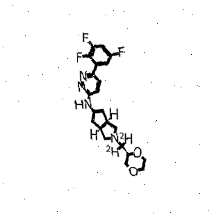 [2H]C([2H])([C@@H]1COCCO1)N1C[C@H]2CC(Nc3ccc(-c4cc(F)cc(F)c4F)nn3)C[C@H]2C1